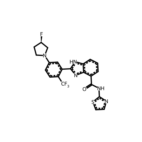 O=C(Nc1nccs1)c1cccc2[nH]c(-c3cc(N4CC[C@@H](F)C4)ccc3C(F)(F)F)nc12